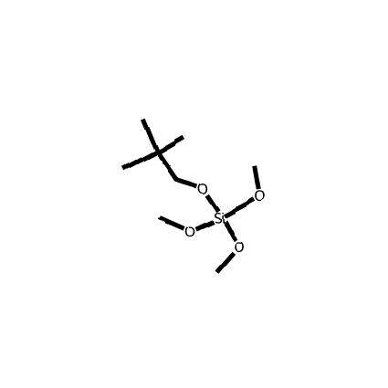 CO[Si](OC)(OC)OCC(C)(C)C